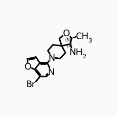 C[C@@H]1OCC2(CCN(c3ncc(Br)c4occc34)CC2)[C@@H]1N